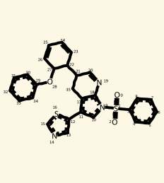 O=S(=O)(c1ccccc1)n1cc(-c2cncs2)c2c1N=CC(C1C=CC=CC1Oc1ccccc1)C2